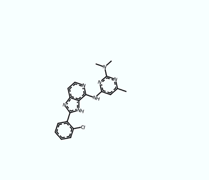 Cc1cc(Nc2nccc3nc(-c4ccccc4Cl)[nH]c23)nc(N(C)C)n1